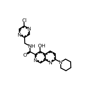 O=C(NCc1cnc(Cl)cn1)c1ncc2nc(N3CCCCC3)ccc2c1O